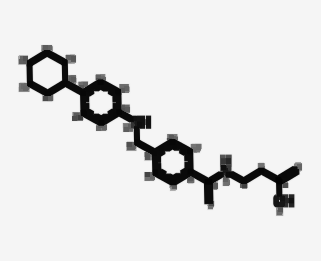 C=C(O)CCNC(=C)c1ccc(CNc2ccc(C3CCCCC3)cc2)cc1